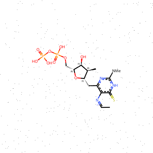 C/C=N\c1c(C[C@@H]2O[C@H](COP(=O)(O)OP(=O)(O)O)[C@@H](O)[C@H]2C)nc(NC)[nH]c1=S